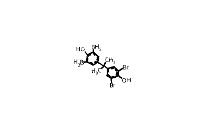 Bc1cc(C(C)(C)c2cc(Br)c(O)c(Br)c2)cc(B)c1O